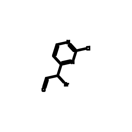 O=CC(Br)c1ccnc(Cl)n1